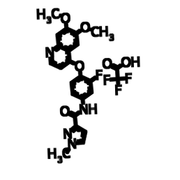 COc1cc2nccc(Oc3ccc(NC(=O)c4ccn(C)n4)cc3F)c2cc1OC.O=C(O)C(F)(F)F